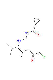 CC(CC(=O)CCl)=C(NCNC(=O)C1CC1)C(C)C